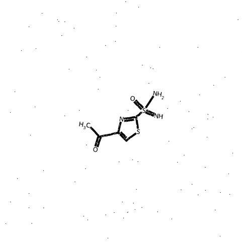 CC(=O)c1csc(S(=N)(N)=O)n1